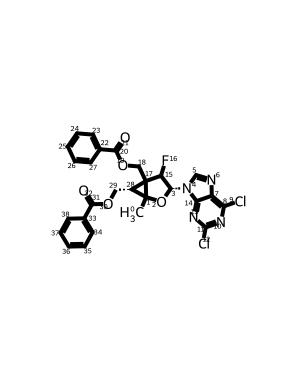 CC12O[C@@H](n3cnc4c(Cl)nc(Cl)nc43)C(F)C1(COC(=O)c1ccccc1)[C@H]2COC(=O)c1ccccc1